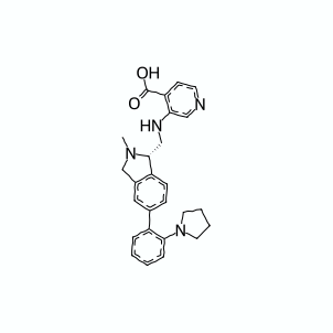 CN1Cc2cc(-c3ccccc3N3CCCC3)ccc2[C@H]1CNc1cnccc1C(=O)O